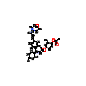 CC(=O)Oc1ccc(OC/C=C(/c2ccc(C)cc2)c2ccc(C#CCN3CCOCC3)cc2)cc1C